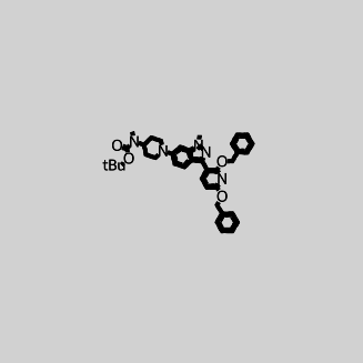 CN(C(=O)OC(C)(C)C)C1CCN(c2ccc3c(-c4ccc(OCc5ccccc5)nc4OCc4ccccc4)nn(C)c3c2)CC1